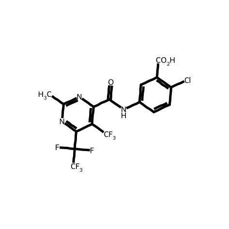 Cc1nc(C(=O)Nc2ccc(Cl)c(C(=O)O)c2)c(C(F)(F)F)c(C(F)(F)C(F)(F)F)n1